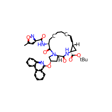 Cc1cc(C(=O)N[C@H]2CCCCC/C=C\[C@@H]3C[C@@]3(C(=O)OC(C)(C)C)NC(=O)[C@@H]3C[C@@H](Oc4nc5ccccc5c5ccccc45)CN3C2=O)no1